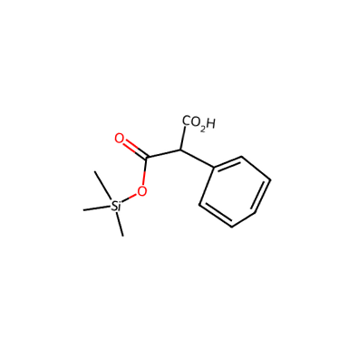 C[Si](C)(C)OC(=O)C(C(=O)O)c1ccccc1